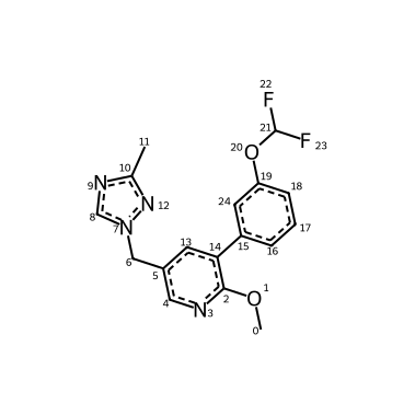 COc1ncc(Cn2cnc(C)n2)cc1-c1cccc(OC(F)F)c1